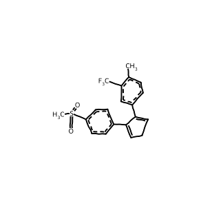 Cc1ccc(C2=CCC=C2c2ccc(S(C)(=O)=O)cc2)cc1C(F)(F)F